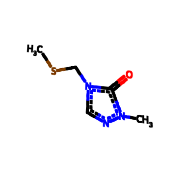 CSCn1cnn(C)c1=O